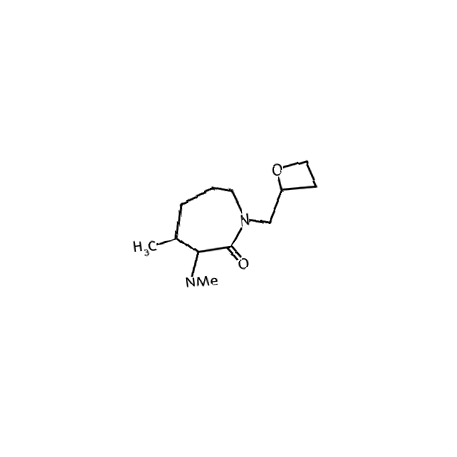 CNC1C(=O)N(CC2CCO2)CCCC1C